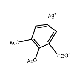 CC(=O)Oc1cccc(C(=O)[O-])c1OC(C)=O.[Ag+]